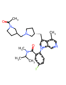 CC(=O)N1CCC(CN2CC[C@H](Cc3cn(-c4ccc(F)cc4C(=O)N(C)C(C)C)c4cncc(C)c34)C2)C1